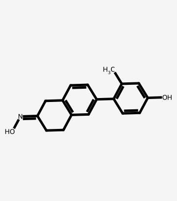 Cc1cc(O)ccc1-c1ccc2c(c1)CC/C(=N\O)C2